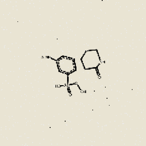 CC(=O)Nc1cccc([As](=O)(O)OO)c1.O=C1CCCCN1